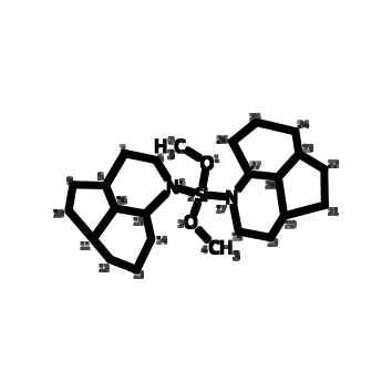 CO[Si](OC)(N1CCC2CCC3CCCC1C32)N1CCC2CCC3CCCC1C32